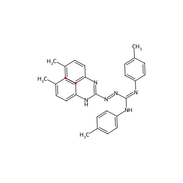 Cc1ccc(N=C(N=NC(=Nc2ccc(C)cc2)Nc2ccc(C)cc2)Nc2ccc(C)cc2)cc1